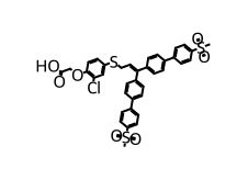 CS(=O)(=O)c1ccc(-c2ccc(C(=CCSc3ccc(OCC(=O)O)c(Cl)c3)c3ccc(-c4ccc(S(C)(=O)=O)cc4)cc3)cc2)cc1